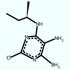 Bc1nc(Cl)nc(N[C@H](C)CC)c1N